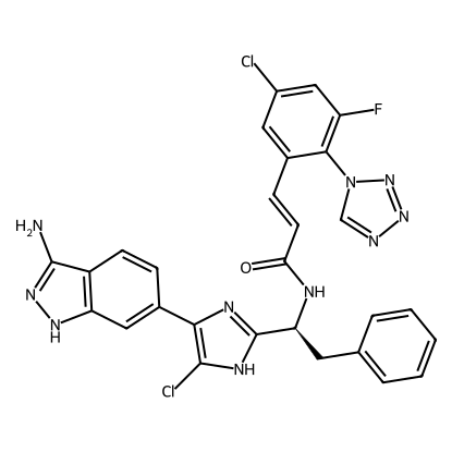 Nc1n[nH]c2cc(-c3nc([C@H](Cc4ccccc4)NC(=O)C=Cc4cc(Cl)cc(F)c4-n4cnnn4)[nH]c3Cl)ccc12